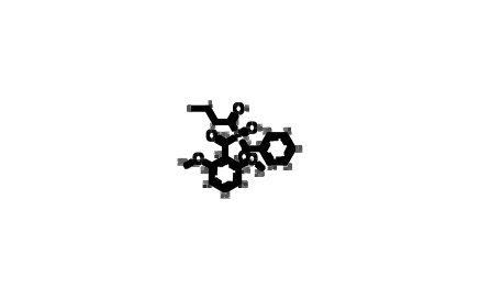 CCCC(=O)P(=O)(C(=O)c1ccccc1)C(=O)c1c(OC)cccc1OC